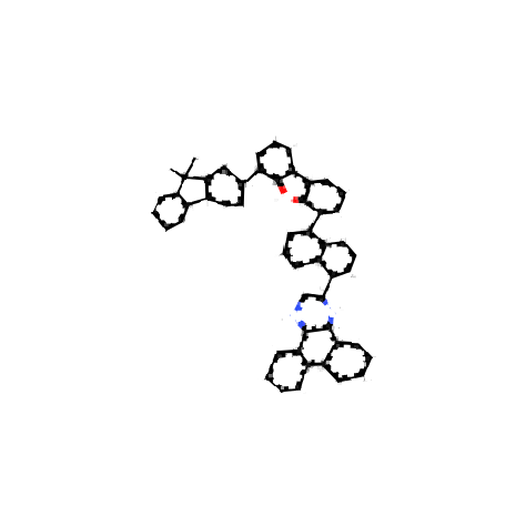 CC1(C)c2ccccc2-c2ccc(-c3cccc4c3oc3c(-c5cccc6c(-c7cnc8c9ccccc9c9ccccc9c8n7)cccc56)cccc34)cc21